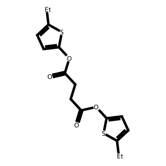 CCc1ccc(OC(=O)CCC(=O)Oc2ccc(CC)s2)s1